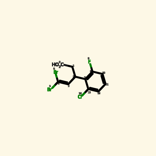 O=C(O)CC(C=C(Br)Br)c1c(F)cccc1Cl